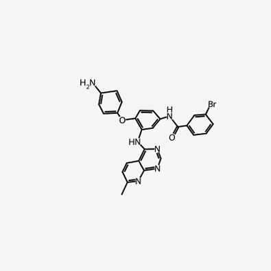 Cc1ccc2c(Nc3cc(NC(=O)c4cccc(Br)c4)ccc3Oc3ccc(N)cc3)ncnc2n1